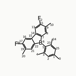 Cc1cc(C)c(B2c3cc(C)c(F)cc3-c3cc(F)c(C)cc32)c(C)c1